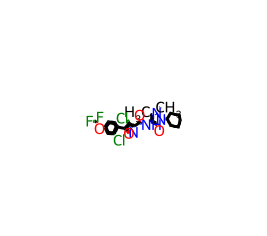 Cc1c(NC(=O)c2noc(-c3ccc(OC(F)F)cc3Cl)c2Cl)c(=O)n(C2CCCCC2)n1C